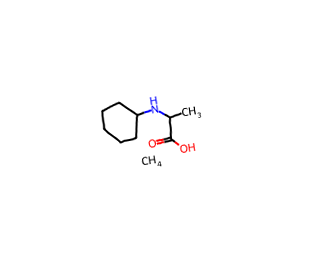 C.CC(NC1CCCCC1)C(=O)O